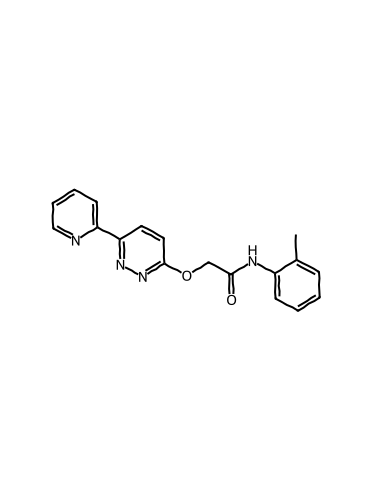 Cc1ccccc1NC(=O)COc1ccc(-c2ccccn2)nn1